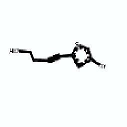 OCCC#Cc1cc(Br)cs1